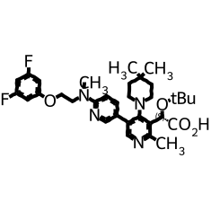 Cc1ncc(-c2ccc(N(C)CCOc3cc(F)cc(F)c3)nc2)c(N2CCC(C)(C)CC2)c1[C@H](OC(C)(C)C)C(=O)O